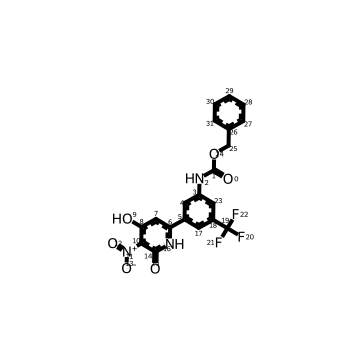 O=C(Nc1cc(-c2cc(O)c([N+](=O)[O-])c(=O)[nH]2)cc(C(F)(F)F)c1)OCc1ccccc1